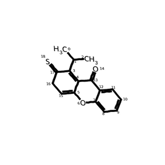 CC(C)C1=c2c(oc3ccccc3c2=O)=CCC1=S